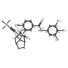 C[Si](C)(C)C#C[C@]1(O)CC2CCC(C1)[C@@H]2S(=O)(=O)c1cc(C(=O)Nc2cc(F)c(F)c(F)c2)ccc1Cl